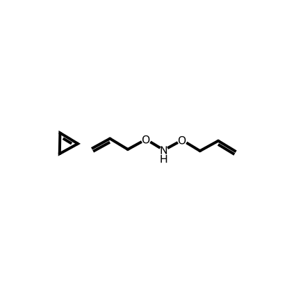 C1=CC1.C=CCONOCC=C